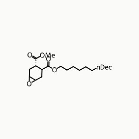 CCCCCCCCCCCCCCCCOC(=O)C1CC2OC2C[C@@H]1C(=O)OC